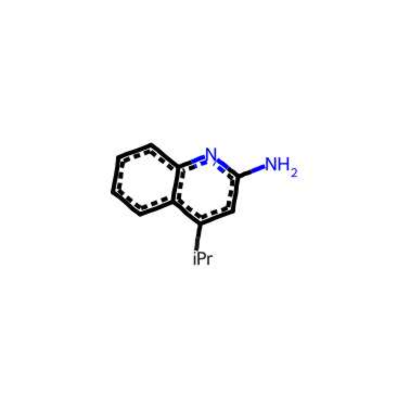 CC(C)c1cc(N)nc2ccccc12